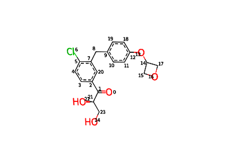 O=C(c1ccc(Cl)c(Cc2ccc(OC3COC3)cc2)c1)[C@H](O)CO